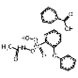 CC(=O)NO[As](=O)(OO)c1ccccc1Oc1ccccc1.O=C(O)c1ccccc1